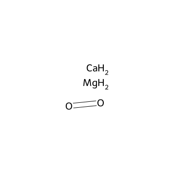 O=O.[CaH2].[MgH2]